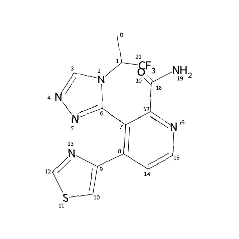 CC(n1cnnc1-c1c(-c2cscn2)ccnc1C(N)=O)C(F)(F)F